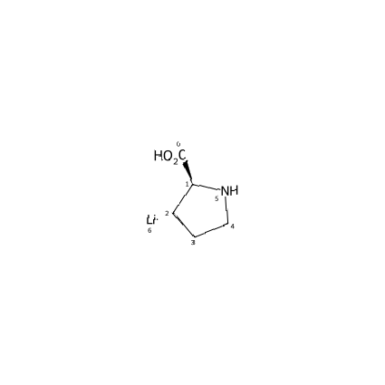 O=C(O)[C@@H]1CCCN1.[Li]